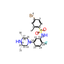 Cc1cc(Br)ccc1S(=O)(=O)Nc1cc(N2C[C@@H](C)N[C@@H](C)C2)ccc1F